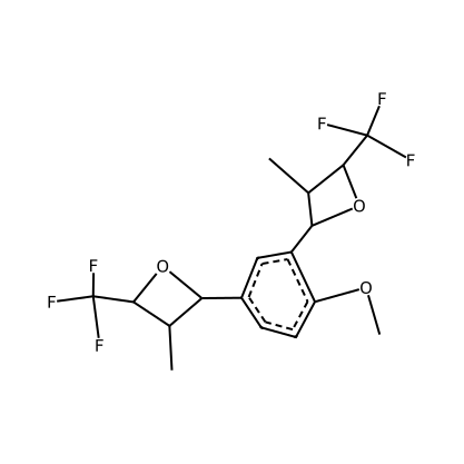 COc1ccc(C2OC(C(F)(F)F)C2C)cc1C1OC(C(F)(F)F)C1C